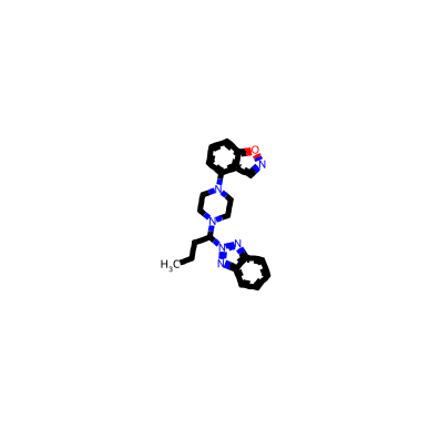 CCCC(N1CCN(c2cccc3oncc23)CC1)n1nc2ccccc2n1